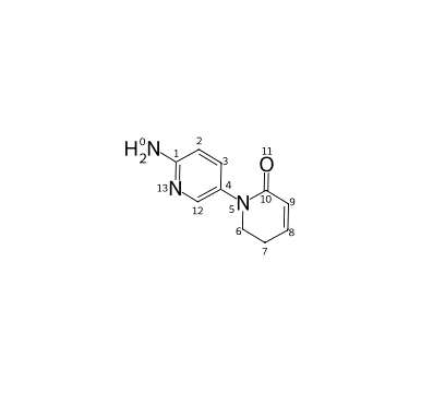 Nc1ccc(N2CCC=CC2=O)cn1